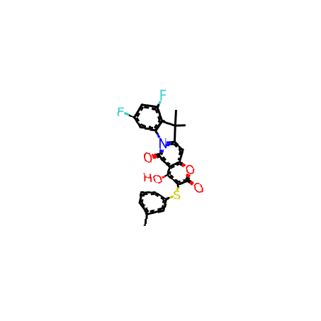 Cc1cccc(Sc2c(O)c3c(=O)n4c(cc3oc2=O)C(C)(C)c2c(F)cc(F)cc2-4)c1